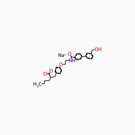 CCCCC(Cc1ccc(OCCNC(=O)c2ccc(-c3cccc(CO)c3)cc2)cc1)C(=O)[O-].[Na+]